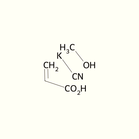 C=CC(=O)O.CO.N#[C][K]